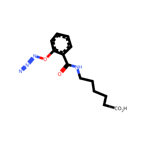 [N-]=[N+]=NOc1ccccc1C(=O)NCCCCCC(=O)O